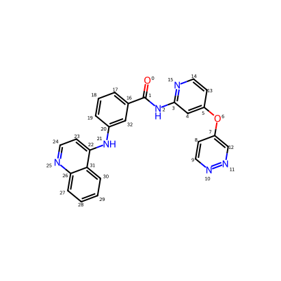 O=C(Nc1cc(Oc2ccnnc2)ccn1)c1cccc(Nc2ccnc3ccccc23)c1